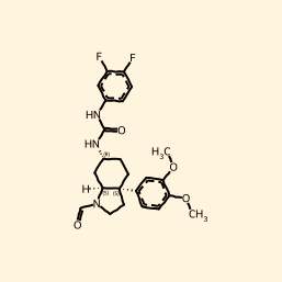 COc1ccc([C@@]23CC[C@@H](NC(=O)Nc4ccc(F)c(F)c4)C[C@@H]2N(C=O)CC3)cc1OC